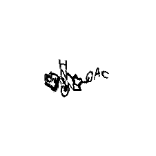 CC(=O)OCc1ccc2c3c1ccn3C(=O)[C@H](C1CN3CCC1CC3)NC2